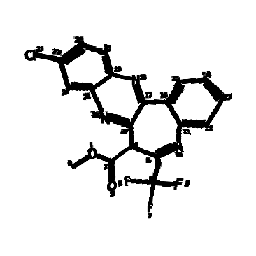 COC(=O)C1C(C(F)(F)F)=Nc2ccccc2-c2nc3ccc(Cl)cc3nc21